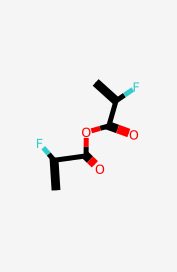 C=C(F)C(=O)OC(=O)C(=C)F